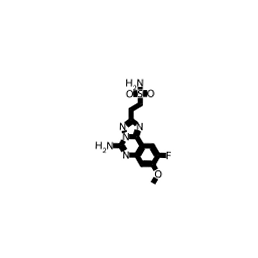 COc1cc2nc(N)n3nc(CCS(N)(=O)=O)nc3c2cc1F